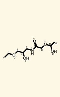 CCOCC(O)CNC(=O)COC(C)O